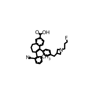 Cc1cccc(C#N)c1C1=C(c2ccc(CC3CN(CCCF)C3)cc2)c2ccc(C(=O)O)cc2CCC1